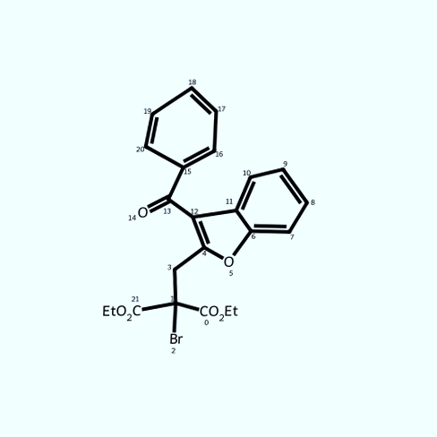 CCOC(=O)C(Br)(Cc1oc2ccccc2c1C(=O)c1ccccc1)C(=O)OCC